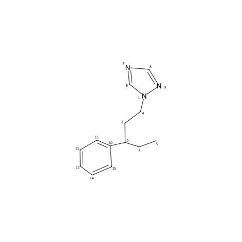 CCC(CCn1cncn1)c1ccccc1